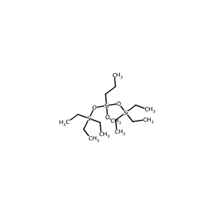 CCC[Si](OC)(O[Si](CC)(CC)CC)O[Si](CC)(CC)CC